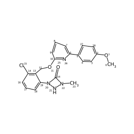 COc1ccc(-c2cccc(OCc3c(Cl)cccc3-n3[nH]n(C)c3=O)n2)cc1